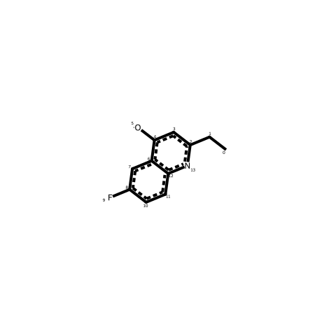 CCc1cc([O])c2cc(F)ccc2n1